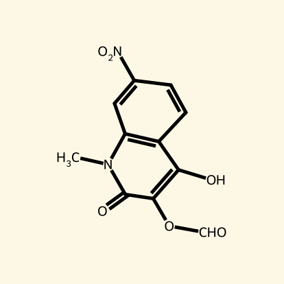 Cn1c(=O)c(OC=O)c(O)c2ccc([N+](=O)[O-])cc21